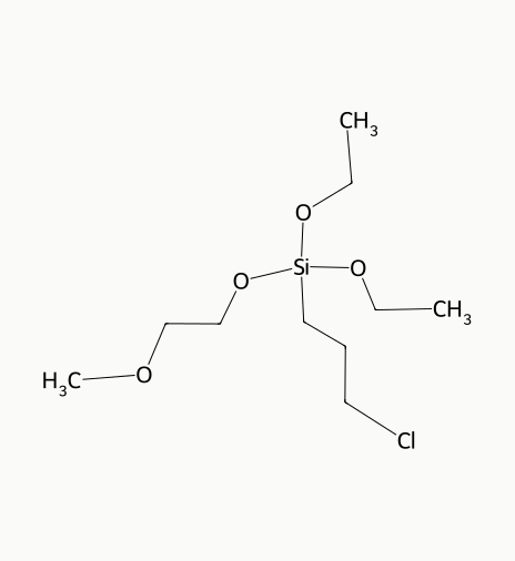 CCO[Si](CCCCl)(OCC)OCCOC